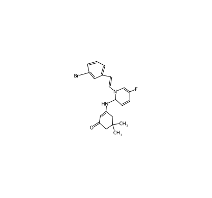 CC1(C)CC(=O)C=C(NC2C=CC(F)=CN2C=Cc2cccc(Br)c2)C1